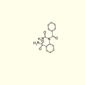 NC(=O)N(C(=O)c1ccccc1)c1ccccc1S(N)(=O)=O